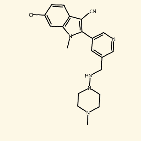 CN1CCN(NCc2cncc(-c3c(C#N)c4ccc(Cl)cc4n3C)c2)CC1